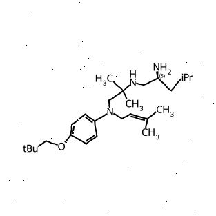 CC(C)=CCN(CC(C)(C)NC[C@@H](N)CC(C)C)c1ccc(OCC(C)(C)C)cc1